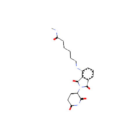 CCNC(=O)CCCCCNc1cccc2c1C(=O)N(C1CCC(=O)NC1=O)C2=O